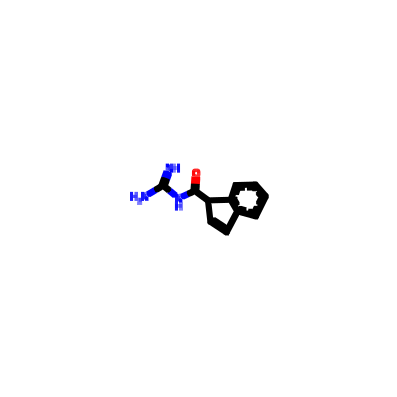 N=C(N)NC(=O)C1C=Cc2ccccc21